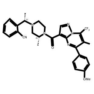 COc1ccc(-c2nc3c(C(=O)N4CCN([C@@H](C)c5ccccc5C#N)C[C@H]4C)cnn3c(C(F)(F)F)c2C)cc1